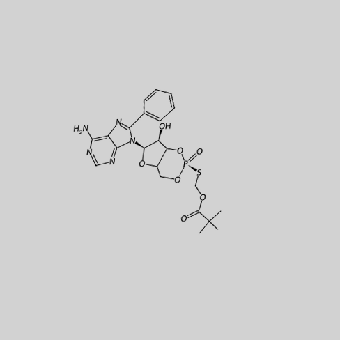 CC(C)(C)C(=O)OCS[P@@]1(=O)OCC2O[C@@H](n3c(-c4ccccc4)nc4c(N)ncnc43)[C@@H](O)C2O1